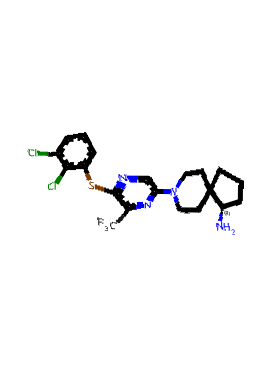 N[C@@H]1CCCC12CCN(c1cnc(Sc3cccc(Cl)c3Cl)c(C(F)(F)F)n1)CC2